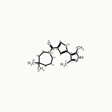 Cc1n[nH]c(C)c1-c1cc(C(=O)N2CCCC(C)(C)CC2)cs1